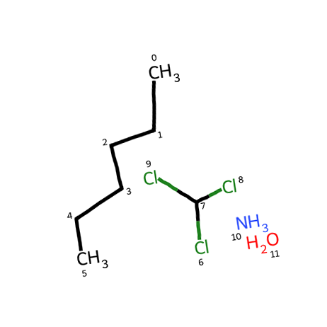 CCCCCC.ClC(Cl)Cl.N.O